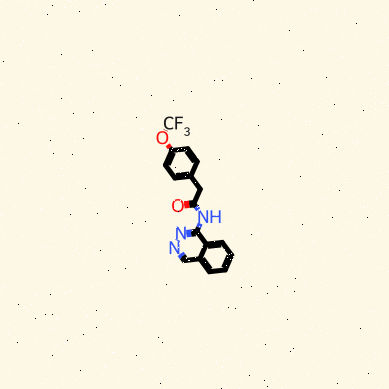 O=C(Cc1ccc(OC(F)(F)F)cc1)Nc1nncc2ccccc12